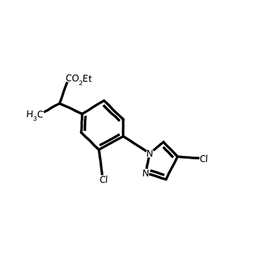 CCOC(=O)C(C)c1ccc(-n2cc(Cl)cn2)c(Cl)c1